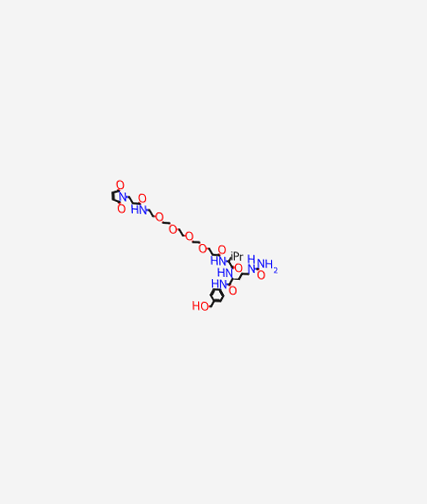 CC(C)C(NC(=O)CCOCCOCCOCCOCCNC(=O)CCN1C(=O)C=CC1=O)C(=O)N[C@@H](CCCNC(N)=O)C(=O)Nc1ccc(CO)cc1